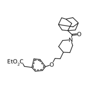 CCOC(=O)Cc1ccc(OCCC2CCN(C(=O)C34CC5CC(CC(C5)C3)C4)CC2)cc1